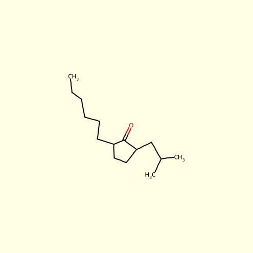 CCCCCCC1CCC(CC(C)C)C1=O